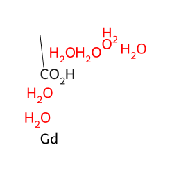 CC(=O)O.O.O.O.O.O.O.[Gd]